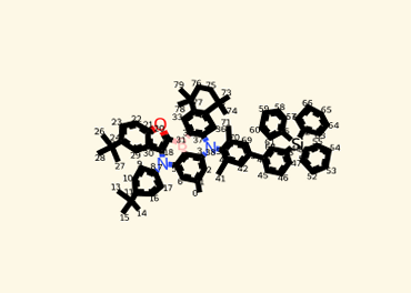 Cc1cc2c3c(c1)N(c1ccc(C(C)(C)C)cc1)c1c(oc4ccc(C(C)(C)C)cc14)B3c1cc3c(cc1N2c1c(C)cc(-c2cccc([Si](c4ccccc4)(c4ccccc4)c4ccccc4)c2)cc1C)C(C)(C)CCC3(C)C